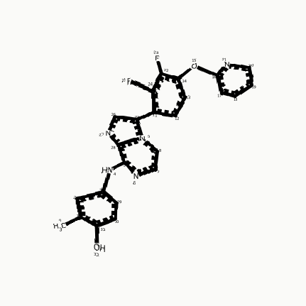 Cc1cc(Nc2nccn3c(-c4ccc(Oc5ccccn5)c(F)c4F)cnc23)ccc1O